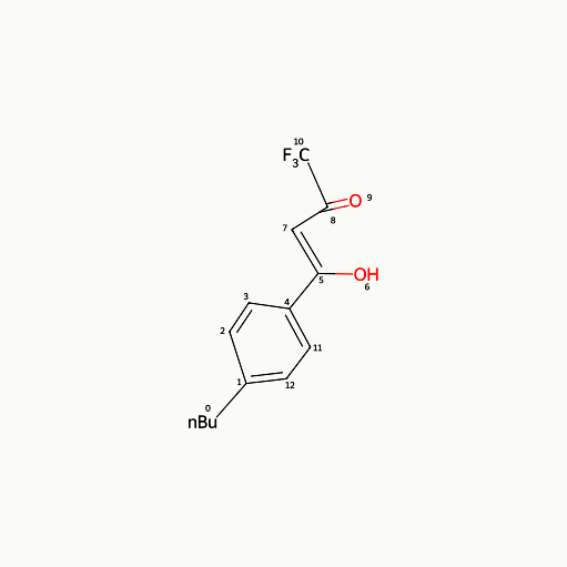 CCCCc1ccc(/C(O)=C/C(=O)C(F)(F)F)cc1